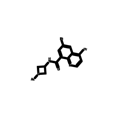 CCc1cc(C(=O)NC2CN(C(C)=O)C2)c2nccc(C(C)C)c2c1